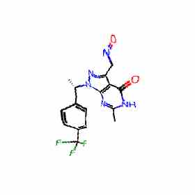 Cc1nc2c(c(CN=O)nn2[C@@H](C)c2ccc(C(F)(F)F)cc2)c(=O)[nH]1